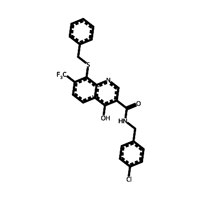 O=C(NCc1ccc(Cl)cc1)c1cnc2c(SCc3ccccc3)c(C(F)(F)F)ccc2c1O